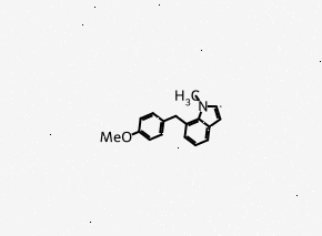 COc1ccc(Cc2cccc3c[c]n(C)c23)cc1